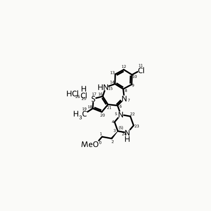 COCC[C@H]1CN(C2=Nc3cc(Cl)ccc3Nc3sc(C)cc32)CCN1.Cl.Cl